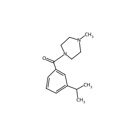 CC(C)c1cccc(C(=O)N2CCN(C)CC2)c1